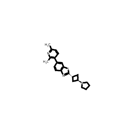 Cc1ccc(-c2ccc3nc([C@H]4C[C@H](N5CCCC5)C4)sc3c2)c(C)n1